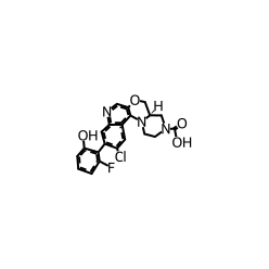 O=C(O)N1CCN2c3c(cnc4cc(-c5c(O)cccc5F)c(Cl)cc34)OC[C@H]2C1